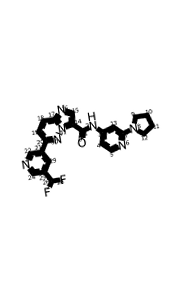 O=C(Nc1ccnc(N2CCCC2)c1)c1cnc2ccc(-c3cncc(C(F)F)c3)nn12